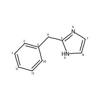 c1ccc(Cc2ncc[nH]2)cc1